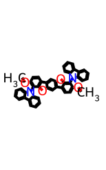 COc1ccc2c(oc3cc4c(cc32)oc2c(-n3c5ccccc5c5ccccc53)c(OC)ccc24)c1-n1c2ccccc2c2ccccc21